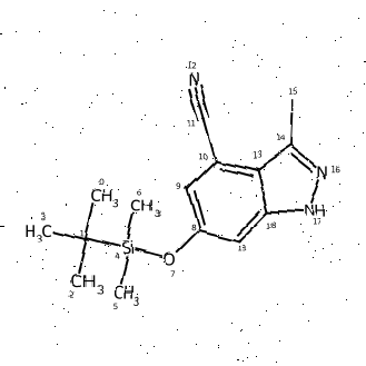 CC(C)(C)[Si](C)(C)Oc1cc(C#N)c2c(I)n[nH]c2c1